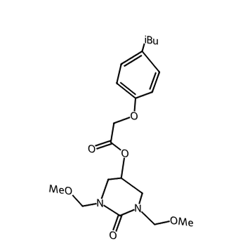 CCC(C)c1ccc(OCC(=O)OC2CN(COC)C(=O)N(COC)C2)cc1